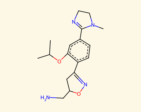 CC(C)Oc1cc(C2=NCCN2C)ccc1C1=NOC(CN)C1